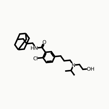 CC(C)N(CCO)CCCc1ccc(Cl)c(C(=O)NCC23CC4CC(CC(C4)C2)C3)c1